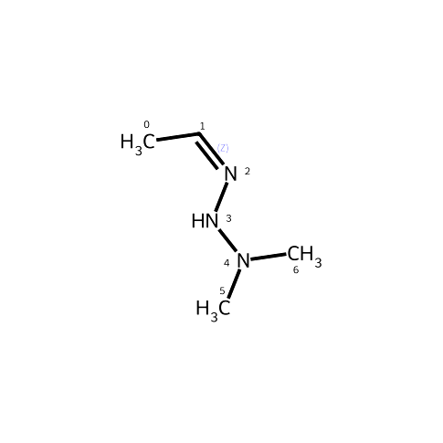 C/C=N\NN(C)C